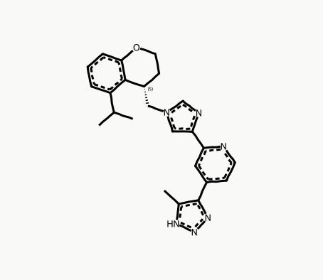 Cc1[nH]nnc1-c1ccnc(-c2cn(C[C@H]3CCOc4cccc(C(C)C)c43)cn2)c1